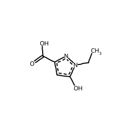 CCn1nc(C(=O)O)cc1O